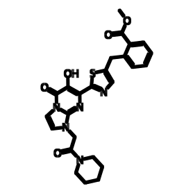 COC(=O)c1ccccc1Cc1cnc(-c2nc3n(CC(=O)N4CCCCC4)ccn3c(=O)c2O)s1